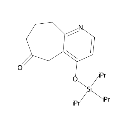 CC(C)[Si](Oc1ccnc2c1CC(=O)CCC2)(C(C)C)C(C)C